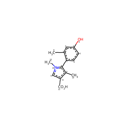 Cc1cc(O)ccc1-c1c(C)c(C(=O)O)cn1C